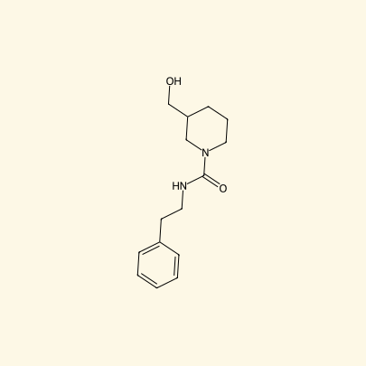 O=C(NCCc1ccccc1)N1CCCC(CO)C1